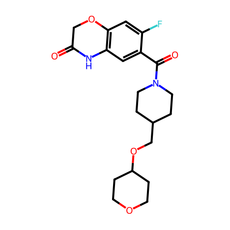 O=C1COc2cc(F)c(C(=O)N3CCC(COC4CCOCC4)CC3)cc2N1